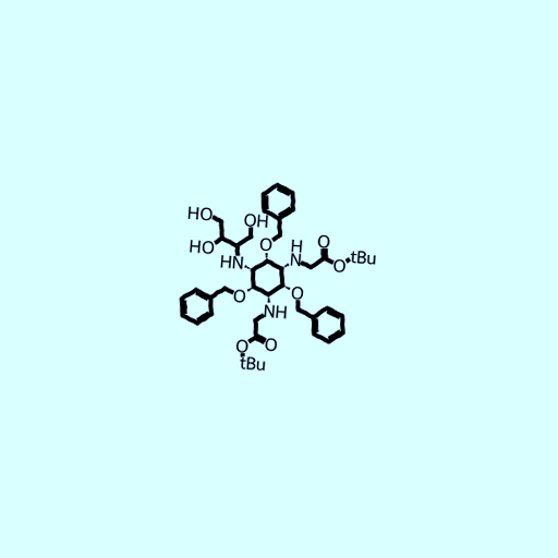 CC(C)(C)OC(=O)CN[C@@H]1[C@H](OCc2ccccc2)[C@H](NCC(=O)OC(C)(C)C)[C@H](OCc2ccccc2)[C@H](NC(CO)C(O)CO)[C@@H]1OCc1ccccc1